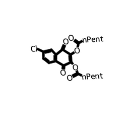 CCCCCC(=O)OC1=C(OC(=O)CCCCC)C(=O)c2cc(Cl)ccc2C1=O